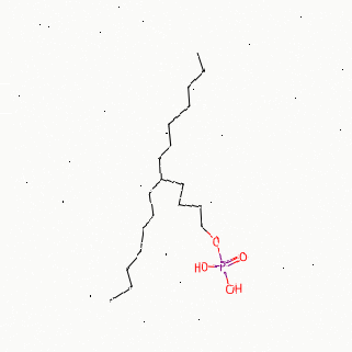 CCCCCCCC(CCCCCCC)CCCCOP(=O)(O)O